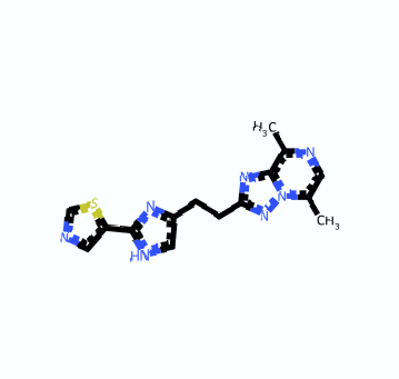 Cc1ncc(C)n2nc(CCc3c[nH]c(-c4cncs4)n3)nc12